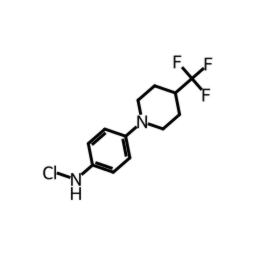 FC(F)(F)C1CCN(c2ccc(NCl)cc2)CC1